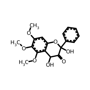 COc1cc2c(c(OC)c1OC)C(O)C(=O)C(O)(c1ccccc1)O2